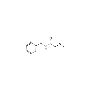 CSCC(=O)NCc1ccccn1